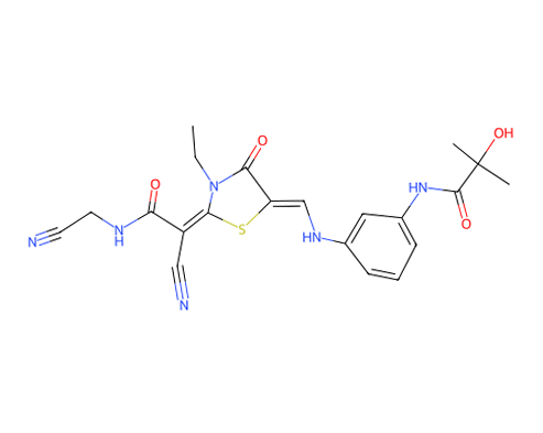 CCn1c(=C(C#N)C(=O)NCC#N)sc(=CNc2cccc(NC(=O)C(C)(C)O)c2)c1=O